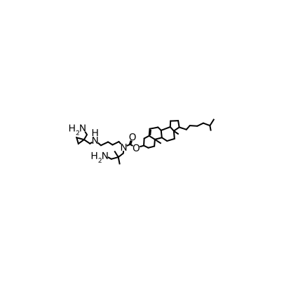 CC(C)CCCCC1CCC2C3CC=C4CC(OC(=O)N(CCCCNCC5(CN)CC5)CC(C)(C)CN)CCC4(C)C3CCC12C